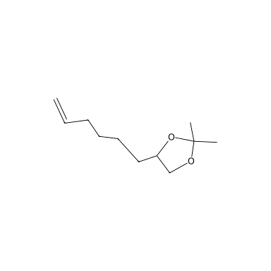 C=CCCCCC1COC(C)(C)O1